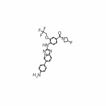 Nc1ccc(-c2ccc3nc(Nc4ccc(C(=O)N5CC(F)C5)cc4OCC(F)(F)F)nn3c2)cc1